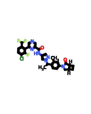 Cc1cc(N2C[C@H]3CC[C@H]3C2=O)ccc1C(C)n1cc(NC(=O)c2cncc(-c3c(C(F)F)ccc(Cl)c3F)n2)cn1